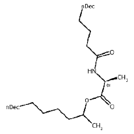 CCCCCCCCCCCCCCC(C)OC(=O)[C@H](C)NC(=O)CCCCCCCCCCCCC